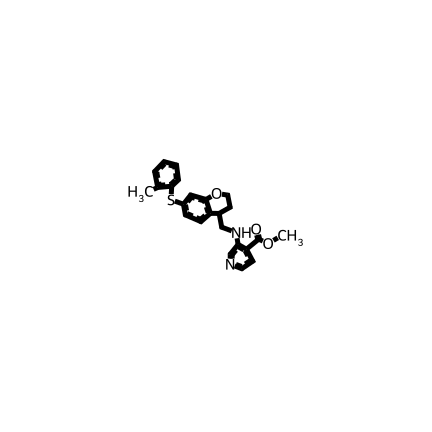 COC(=O)c1ccncc1NCC1CCOc2cc(Sc3ccccc3C)ccc21